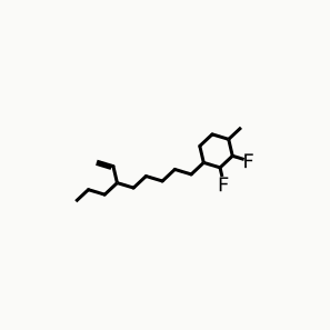 C=CC(CCC)CCCCCC1CCC(C)C(F)C1F